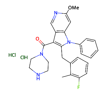 COc1cc2c(cn1)c(C(=O)N1CCNCC1)c(Cc1cccc(F)c1C)n2-c1ccccc1.Cl.Cl